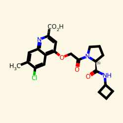 Cc1cc2nc(C(=O)O)cc(OCC(=O)N3CCC[C@H]3C(=O)NC3CCC3)c2cc1Cl